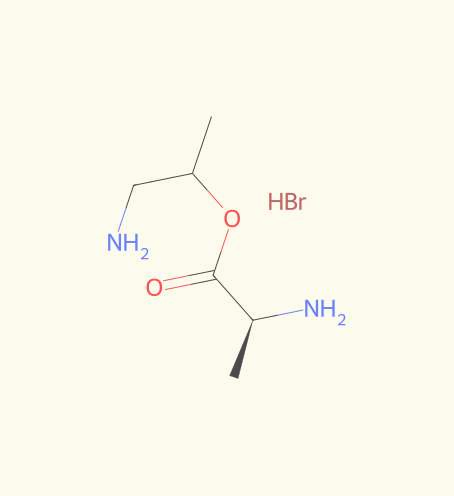 Br.CC(CN)OC(=O)[C@H](C)N